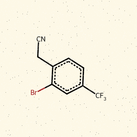 N#CCc1ccc(C(F)(F)F)cc1Br